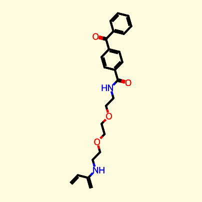 C=CC(=C)NCCOCCOCCNC(=O)c1ccc(C(=O)c2ccccc2)cc1